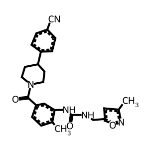 Cc1cc(CNC(=O)Nc2cc(C(=O)N3CCC(c4ccc(C#N)cc4)CC3)ccc2C)on1